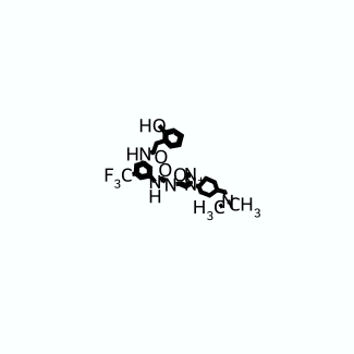 CN(C)CC1CCC([n+]2cc([N-]C(=O)Nc3cc(NC(=O)Cc4ccccc4O)cc(C(F)(F)F)c3)on2)CC1